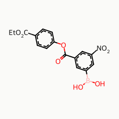 CCOC(=O)c1ccc(OC(=O)c2cc(B(O)O)cc([N+](=O)[O-])c2)cc1